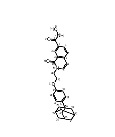 O=C(NO)c1ccc2ccn(CCOc3ccc(C45CC6CC(CC(C6)C4)C5)cc3)c(=O)c2c1